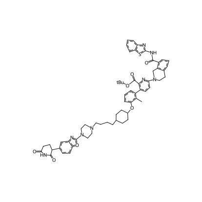 Cc1c(OC2CCC(CCCCN3CCN(c4nc5cc(C6CCC(=O)NC6=O)ccc5o4)CC3)CC2)cccc1-c1ccc(N2CCc3cccc(C(=O)Nc4nc5ccccc5s4)c3C2)nc1C(=O)OC(C)(C)C